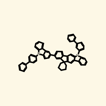 c1ccc(-c2ccc(-n3c4ccccc4c4cc(-c5ccc6c(c5)C5(CCCCC5)c5cc7c8ccccc8n(-c8cccc(-c9ccccc9)c8)c7cc5-6)ccc43)cc2)cc1